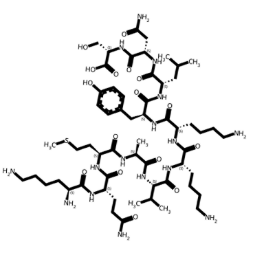 CSCC[C@H](NC(=O)[C@H](CCC(N)=O)NC(=O)[C@@H](N)CCCCN)C(=O)N[C@@H](C)C(=O)N[C@H](C(=O)N[C@@H](CCCCN)C(=O)N[C@@H](CCCCN)C(=O)N[C@@H](Cc1ccc(O)cc1)C(=O)N[C@@H](CC(C)C)C(=O)N[C@@H](CC(N)=O)C(=O)N[C@@H](CO)C(=O)O)C(C)C